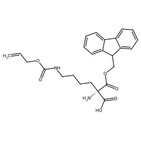 C=CCOC(=O)NCCCC[C@](N)(C(=O)O)C(=O)OCC1c2ccccc2-c2ccccc21